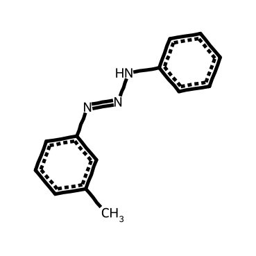 Cc1cccc(N=NNc2ccccc2)c1